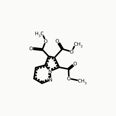 COC(=O)c1c(C(=O)OC)c2cccnn2c1C(=O)OC